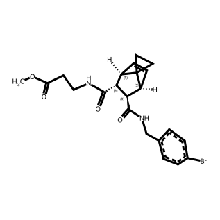 COC(=O)CCNC(=O)[C@H]1[C@H](C(=O)NCc2ccc(Br)cc2)[C@@H]2C=C[C@H]1C21CC1